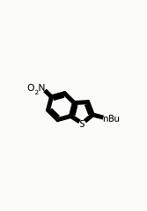 CCCCc1cc2cc([N+](=O)[O-])ccc2s1